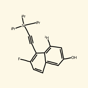 [2H]c1cc(O)cc2ccc(F)c(C#C[Si](C(C)C)(C(C)C)C(C)C)c12